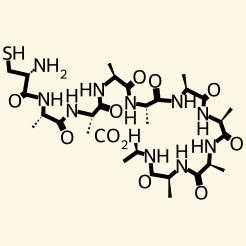 C[C@H](NC(=O)[C@H](C)NC(=O)[C@H](C)NC(=O)[C@H](C)NC(=O)[C@H](C)NC(=O)[C@H](C)NC(=O)[C@H](C)NC(=O)[C@H](C)NC(=O)[C@H](C)NC(=O)[C@@H](N)CS)C(=O)O